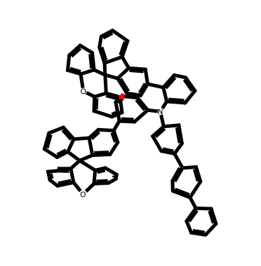 c1ccc(-c2ccc(-c3ccc(N(c4cccc(-c5ccc6c(c5)-c5ccccc5C65c6ccccc6Oc6ccccc65)c4)c4ccccc4-c4ccc5c(c4)-c4ccccc4C54c5ccccc5Oc5ccccc54)cc3)cc2)cc1